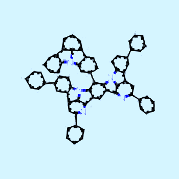 c1ccc(-c2ccc3c(c2)c2cc(-c4ccccc4)nc4c5cc6c7nc(-c8ccccc8)cc8c9cc(-c%10ccccc%10)ccc9n(c6c(-c6ccc9c%10cccc%11c%12ccccc%12n(c9c6)c%11%10)c5n3c24)c87)cc1